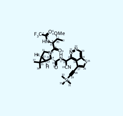 CO[C@H](C)[C@H](NC(=O)C(F)(F)F)C(=O)N1C[C@H]2[C@@H]([C@H]1C(=O)NC(C#N)c1nncc3scc(C#C[Si](C)(C)C)c13)C2(C)C